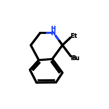 CCC(C)C1(CC)NCCc2ccccc21